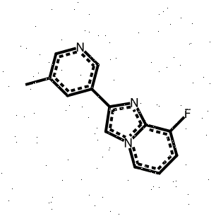 Cc1cncc(-c2cn3cccc(F)c3n2)c1